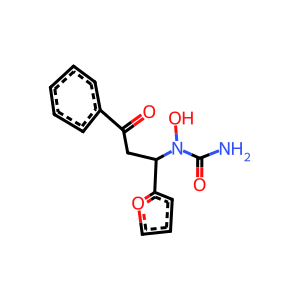 NC(=O)N(O)C(CC(=O)c1ccccc1)c1ccco1